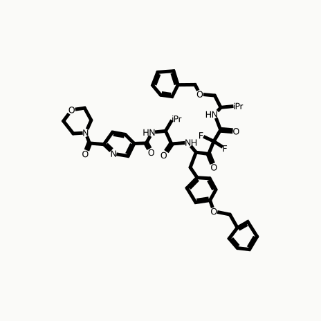 CC(C)C(COCc1ccccc1)NC(=O)C(F)(F)C(=O)C(Cc1ccc(OCc2ccccc2)cc1)NC(=O)C(NC(=O)c1ccc(C(=O)N2CCOCC2)nc1)C(C)C